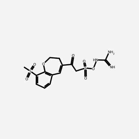 CS(=O)(=O)c1cccc2c1OCCC(C(=O)CS(=O)(=O)ONC(=N)N)=C2